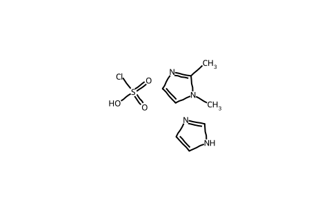 Cc1nccn1C.O=S(=O)(O)Cl.c1c[nH]cn1